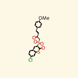 COc1ccc(/C=C/C(=O)CS(=O)(=O)c2cc3ccc(Cl)cc3sc2=O)cc1